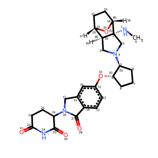 CN[C@]12CN([C@H]3CCC[C@@H]3Oc3ccc4c(c3)CN(C3CCC(=O)NC3=O)C4=O)C[C@H]1[C@@H]1CC[C@H]2O1